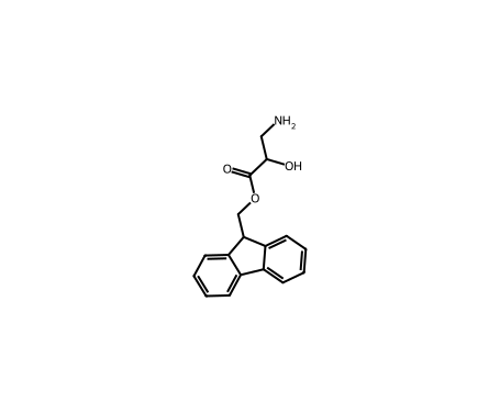 NCC(O)C(=O)OCC1c2ccccc2-c2ccccc21